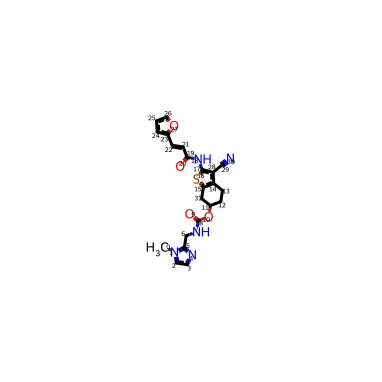 Cn1ccnc1CNC(=O)OC1CCc2c(sc(NC(=O)C=Cc3ccco3)c2C#N)C1